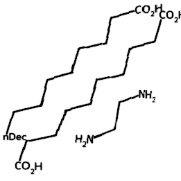 CCCCCCCCCCCCCCCCCC(=O)O.NCCN.O=C(O)CCCCCCCCC(=O)O